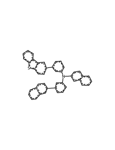 c1cc(-c2ccc3ccccc3c2)cc(N(c2cccc(-c3ccc4sc5ccccc5c4c3)c2)c2ccc3ccccc3c2)c1